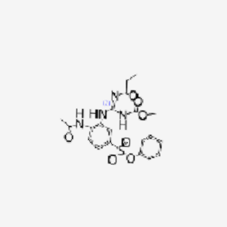 CCC(=O)/N=C(\NC(=O)OC)Nc1cc(S(=O)(=O)Oc2ccccc2)ccc1NC(C)=O